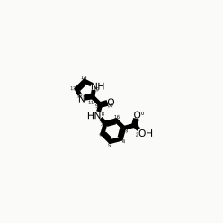 O=C(O)c1cccc(NC(=O)c2ncc[nH]2)c1